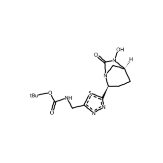 CC(C)(C)OC(=O)NCc1nnc([C@@H]2CC[C@H]3CN2C(=O)N3O)s1